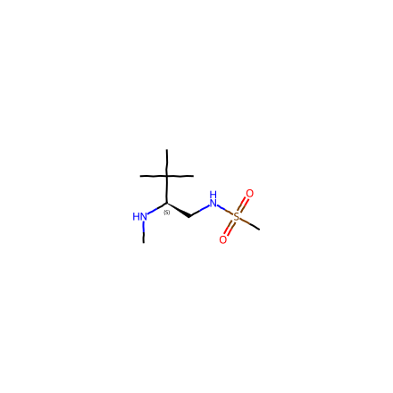 CN[C@H](CNS(C)(=O)=O)C(C)(C)C